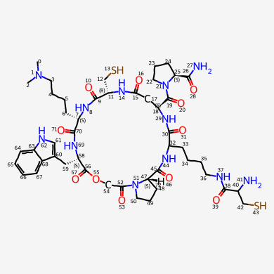 CN(C)CCCC[C@@H]1NC(=O)[C@H](CS)NC(=O)C[C@@H](C(=O)N2CCC[C@H]2C(N)=O)NC(=O)C(CCCCNC(=O)C(N)CS)NC(=O)[C@@H]2CCCN2C(=O)COC(=O)[C@H](Cc2c[nH]c3ccccc23)NC1=O